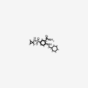 CC1(NS(=O)(=O)c2ccc(NCC3CCCCC3)c(C(N)=O)c2)CC1